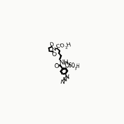 [N-]=[N+]=Nc1ccc(C(=O)NCCCCC(C(=O)O)N2C(=O)CCC2=O)c(OS(=O)(=O)O)c1